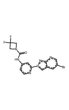 O=C(Nc1ccnc(-n2cc3cc(Br)cnc3n2)c1)N1CC(F)(F)C1